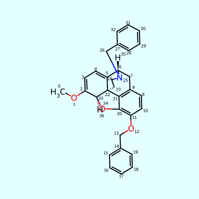 COC1=CC=C2[C@@H]3Cc4ccc(OCc5ccccc5)c5c4[C@@]2(CCN3Cc2ccccc2)[C@H]1O5